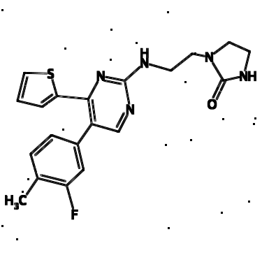 Cc1ccc(-c2cnc(NCCN3CCNC3=O)nc2-c2cccs2)cc1F